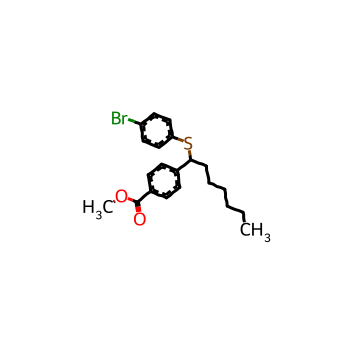 CCCCCCC(Sc1ccc(Br)cc1)c1ccc(C(=O)OC)cc1